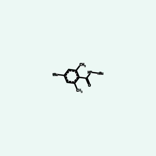 CCCCPC(=O)c1c(C)cc(C(C)(C)C)cc1C